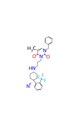 Cc1cn(Cc2ccccc2)c(=O)n(CCCN[C@H]2CC[C@](C#N)(c3ccccc3C(F)(F)F)CC2)c1=O